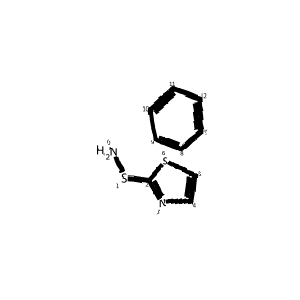 NSc1nccs1.c1ccccc1